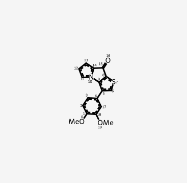 COc1ccc(-c2csc3c2-n2cccc2C3=O)cc1OC